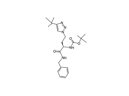 CC(C)(C)OC(=O)N[C@H](CCn1cc(S(C)(C)C)nn1)C(=O)NCc1ccccc1